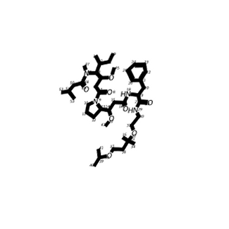 CCC(C)C(C(CC(=O)N1CCCC1C(CC(=O)NC(Cc1ccccc1)C(=O)NCCOC(C)(C)CCOC(C)C)OC)OC)N(C)C(=O)CC(C)C